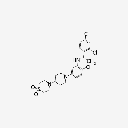 CC(Nc1cc(N2CCC(N3CCS(=O)(=O)CC3)CC2)ccc1Cl)c1ccc(Cl)cc1Cl